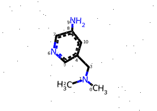 CN(C)Cc1cncc(N)c1